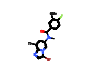 CCc1cc(N(C)C(=O)c2ccc(F)c(OC)c2)cn2c(Br)cnc12